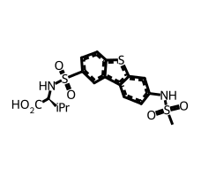 CC(C)[C@H](NS(=O)(=O)c1ccc2sc3cc(NS(C)(=O)=O)ccc3c2c1)C(=O)O